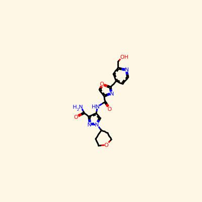 NC(=O)c1nn(C2CCOCC2)cc1NC(=O)c1coc(-c2ccnc(CO)c2)n1